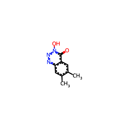 Cc1cc2nnn(O)c(=O)c2cc1C